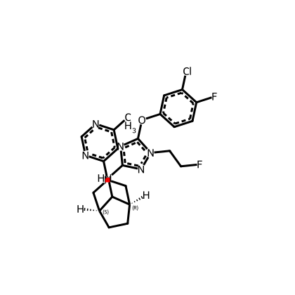 Cc1cc(N2C[C@H]3CC[C@@H](C2)C3Nc2nc(Oc3ccc(F)c(Cl)c3)n(CCF)n2)ncn1